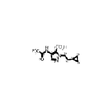 O=C(O)c1c(NC(=O)C(F)(F)F)cnn1CCC1CC1